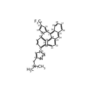 CN(C)Cc1cn(-c2ccc(-n3cc(C(F)(F)F)cc3-c3c4ccccc4cc4ccccc34)cc2)nn1